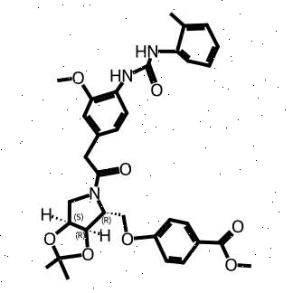 COC(=O)c1ccc(OC[C@@H]2[C@H]3OC(C)(C)O[C@H]3CN2C(=O)Cc2ccc(NC(=O)Nc3ccccc3C)c(OC)c2)cc1